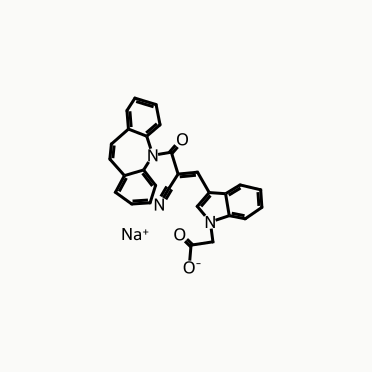 N#CC(=Cc1cn(CC(=O)[O-])c2ccccc12)C(=O)N1c2ccccc2C=Cc2ccccc21.[Na+]